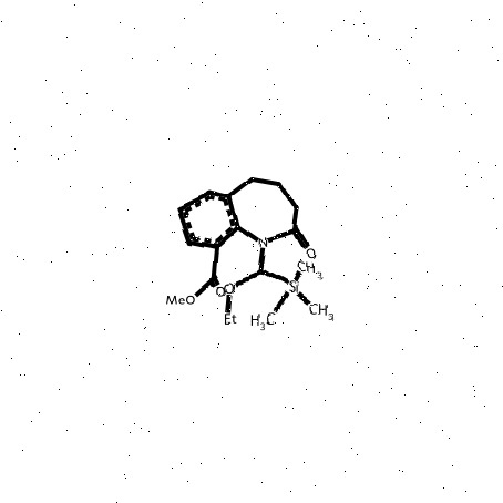 CCOC(N1C(=O)CCCc2cccc(C(=O)OC)c21)[Si](C)(C)C